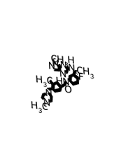 Cc1cc(C(=O)Nc2ccc(F)c([C@H](C)Nc3cnc4cnn(C)c4n3)c2)ccc1CN1CCN(C)CC1